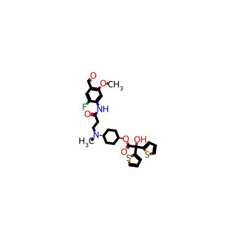 COc1cc(NC(=O)CCN(C)[C@H]2CC[C@H](OC(=O)C(O)(c3cccs3)c3cccs3)CC2)c(F)cc1C=O